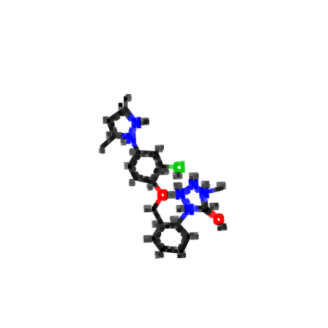 Cc1cc(C)n(-c2ccc(OCc3ccccc3-n3nnn(C)c3=O)c(Cl)c2)n1